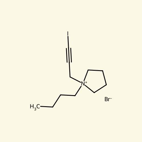 CCCC[N+]1(CC#CI)CCCC1.[Br-]